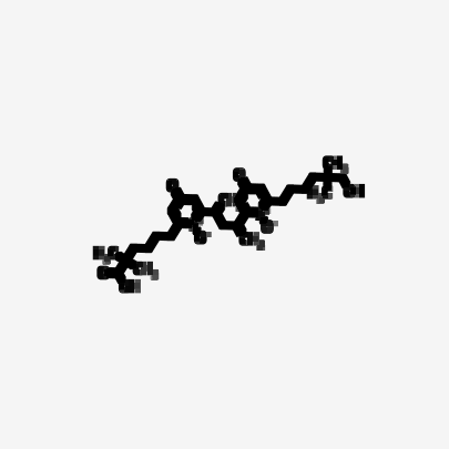 C=C(CC(=C)c1cc(=O)cc(CCCCC(C)(C)C(=O)O)[s+]1[O-])c1cc(=O)cc(CCCCC(C)(C)CO)[s+]1[O-]